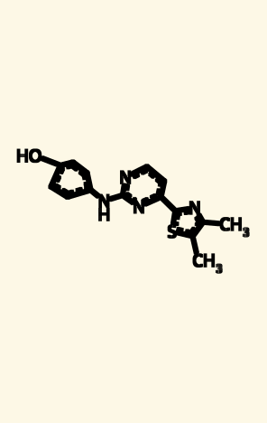 Cc1nc(-c2ccnc(Nc3ccc(O)cc3)n2)sc1C